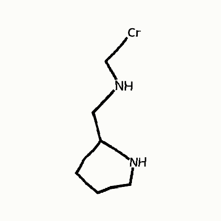 [Cr][CH2]NCC1CCCN1